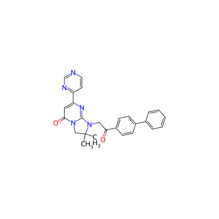 CC1(C)Cn2c(nc(-c3ccncn3)cc2=O)N1CC(=O)c1ccc(-c2ccccc2)cc1